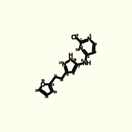 Clc1nccc(Nc2cc(CCc3ccco3)n[nH]2)n1